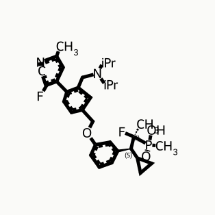 Cc1cc(-c2ccc(COc3cccc([C@H](C4CC4)[C@@](C)(F)P(C)(=O)O)c3)cc2CN(C(C)C)C(C)C)c(F)cn1